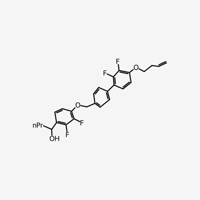 C=CCCOc1ccc(-c2ccc(COc3ccc(C(O)CCC)c(F)c3F)cc2)c(F)c1F